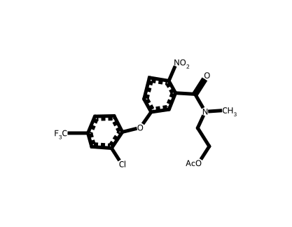 CC(=O)OCCN(C)C(=O)c1cc(Oc2ccc(C(F)(F)F)cc2Cl)ccc1[N+](=O)[O-]